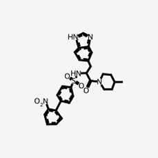 CC1CCN(C(=O)C(Cc2ccc3[nH]cnc3c2)NS(=O)(=O)c2ccc(-c3ccccc3[N+](=O)[O-])cc2)CC1